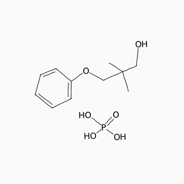 CC(C)(CO)COc1ccccc1.O=P(O)(O)O